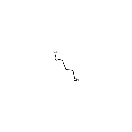 OCCCO[SiH2]